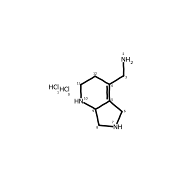 Cl.Cl.NCC1=C2CNCC2NCC1